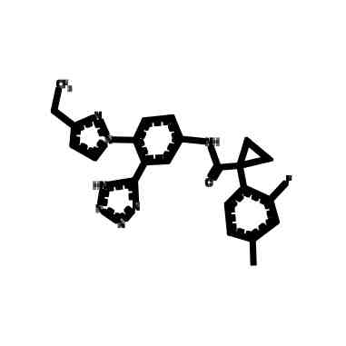 Cc1ccc(C2(C(=O)Nc3ccc(-n4ccc(CC(F)(F)F)n4)c(-c4nnn[nH]4)c3)CC2)c(F)c1